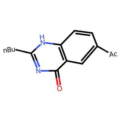 CCCCc1nc(=O)c2cc(C(C)=O)ccc2[nH]1